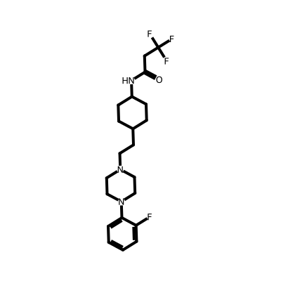 O=C(CC(F)(F)F)NC1CCC(CCN2CCN(c3ccccc3F)CC2)CC1